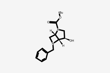 CC(C)(C)OC(=O)N1C[C@@H](O)[C@H]2[C@@H]1CN2Cc1ccccc1